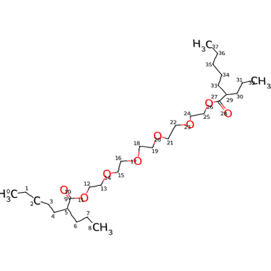 CCCCCC(CCC)C(=O)OCCOCCOCCOCCOCCOC(=O)C(CCC)CCCCC